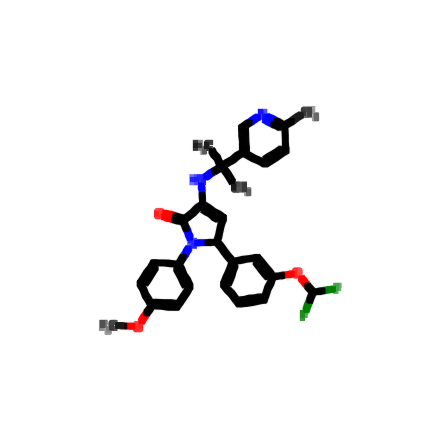 CC(C)(NC1=CC(c2cccc(OC(F)F)c2)N(c2ccc(OC(F)(F)F)cc2)C1=O)c1ccc(C(F)(F)F)nc1